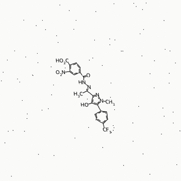 C/C(=N\NC(=O)c1ccc(C(=O)O)c([N+](=O)[O-])c1)c1nn(C)c(-c2ccc(C(F)(F)F)cc2)c1O